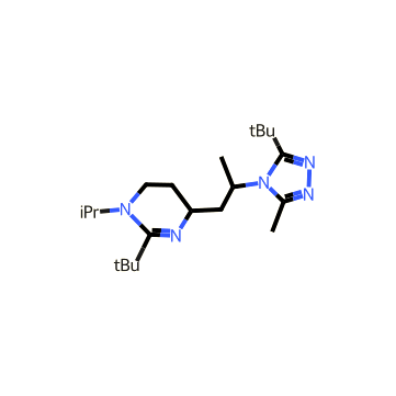 Cc1nnc(C(C)(C)C)n1C(C)CC1CCN(C(C)C)C(C(C)(C)C)=N1